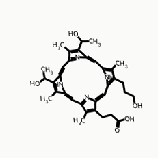 CC1=C(CCC(=O)O)c2cc3[nH]c(cc4nc(cc5[nH]c(cc1n2)c(C)c5C(C)O)C(C)=C4C(C)O)c(C)c3CCCO